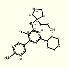 Nc1ncc(-c2nc(N3CCOCC3)nc(N[C@@]3(CCO)CCNC3)c2F)cn1